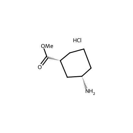 COC(=O)[C@@H]1CCC[C@H](N)C1.Cl